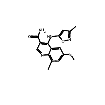 CSc1cc(C)c2ncc(C(N)=O)c(Nc3cc(C)no3)c2c1